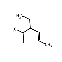 CC=CC(CN)C(C)I